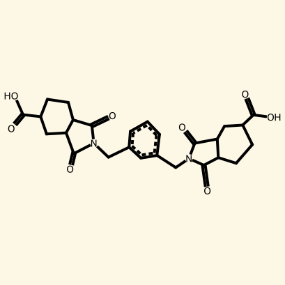 O=C(O)C1CCC2C(=O)N(Cc3cccc(CN4C(=O)C5CCC(C(=O)O)CC5C4=O)c3)C(=O)C2C1